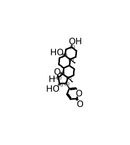 C[C@]12CC[C@H](O)C[C@@]1(O)CCC1C2CC[C@]2(C)[C@@H](c3ccc(=O)oc3)[C@@H](O)[C@H]3O[C@]132